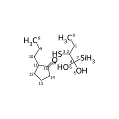 CCC(S)C(O)(O)[SiH3].CCCC1CCCC1=O